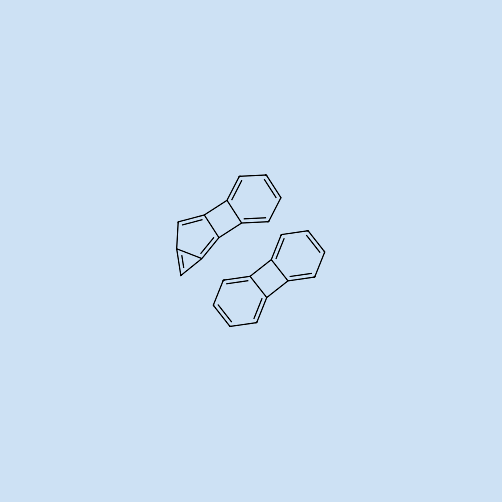 c1ccc2c(c1)-c1cc3cc-3c1-2.c1ccc2c(c1)-c1ccccc1-2